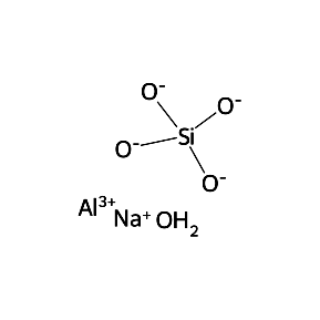 O.[Al+3].[Na+].[O-][Si]([O-])([O-])[O-]